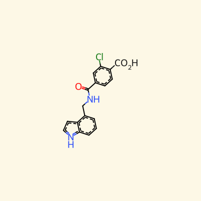 O=C(NCc1cccc2[nH]ccc12)c1ccc(C(=O)O)c(Cl)c1